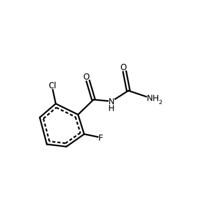 NC(=O)NC(=O)c1c(F)cccc1Cl